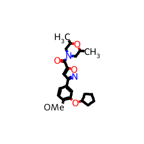 COc1ccc(-c2cc(C(=O)N3CC(C)OC(C)C3)on2)cc1OC1CCCC1